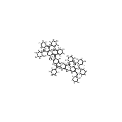 c1ccc(N2c3ccccc3B3c4ccccc4N4c5ccccc5B5c6cc7c8cc9c(cc8n(-c8ccccc8)c7cc6Oc6cc2c3c4c65)Oc2cc3c4c5c2B9c2ccccc2N5c2ccccc2B4c2ccccc2N3c2ccccc2)cc1